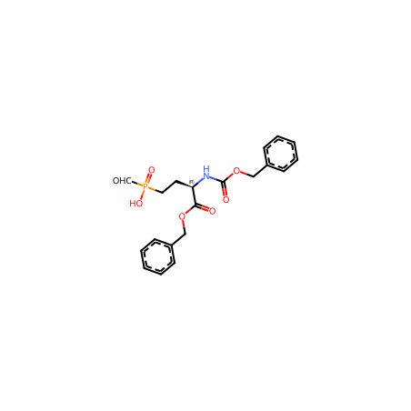 O=CP(=O)(O)CC[C@@H](NC(=O)OCc1ccccc1)C(=O)OCc1ccccc1